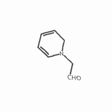 O=CCN1C=CC=CC1